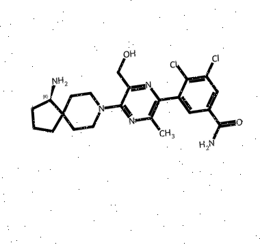 Cc1nc(N2CCC3(CCC[C@H]3N)CC2)c(CO)nc1-c1cc(C(N)=O)cc(Cl)c1Cl